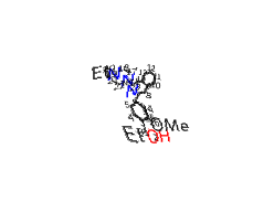 CCC(O)c1ccc(-c2cc3ccccc3c(N3CCN(CC)CC3)n2)cc1OC